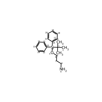 CC(C)(C)[Si](OCCCN)(c1ccccc1)c1ccccc1